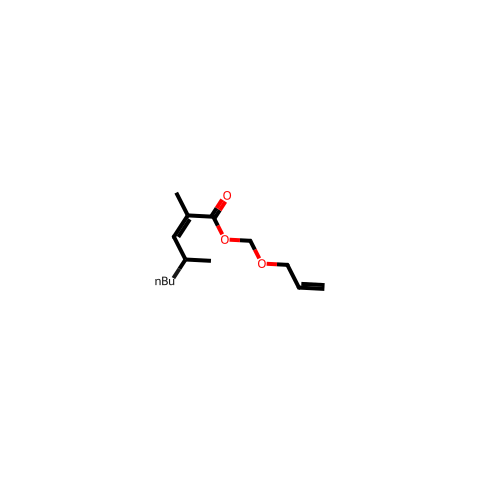 C=CCOCOC(=O)C(C)=CC(C)CCCC